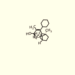 CC(C(=O)O)=C(C1CCCCC1)C1C[C@H]2CC[C@@]1(C)C2(C)C